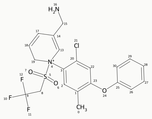 Cc1cc([N+]2(S(=O)(=O)CC(F)(F)F)C=C(CN)C=CC2)c(Cl)cc1Oc1ccccc1